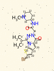 CC(C)c1nn(CC(=O)N[C@@H]2CCCN(C)C2)c(=O)c2cc3cc(Br)sc3n12